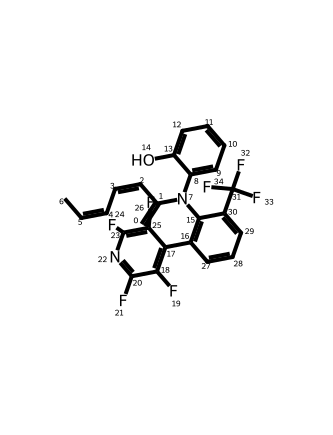 C=C(/C=C\C=C/C)N(c1ccccc1O)c1c(-c2c(F)c(F)nc(F)c2F)cccc1C(F)(F)F